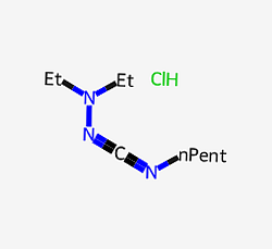 CCCCCN=C=NN(CC)CC.Cl